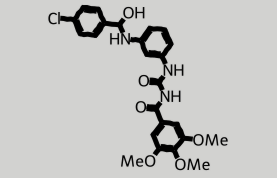 COc1cc(C(=O)NC(=O)Nc2cccc(NC(O)c3ccc(Cl)cc3)c2)cc(OC)c1OC